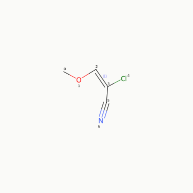 CO/C=C(/Cl)C#N